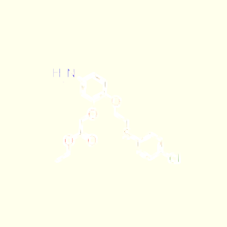 CCOC(=O)COc1cc(N)ccc1OCCSc1ccc(Cl)cc1